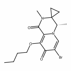 CCCCOc1c2n(cc(Br)c1=O)[C@@H](C)C1(CC1)N(C)C2=O